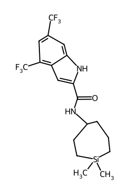 C[Si]1(C)CCCC(NC(=O)c2cc3c(C(F)(F)F)cc(C(F)(F)F)cc3[nH]2)CC1